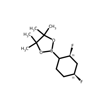 CC1(C)OB(C2CC[C@H](F)C[C@@H]2F)OC1(C)C